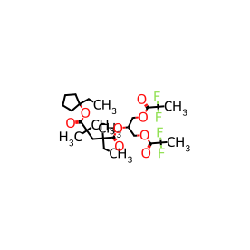 CCC1(OC(=O)C(C)(C)CC(C)(CC)C(=O)OC(COC(=O)C(C)(F)F)COC(=O)C(C)(F)F)CCCC1